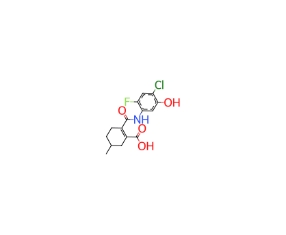 CC1CCC(C(=O)Nc2cc(O)c(Cl)cc2F)=C(C(=O)O)C1